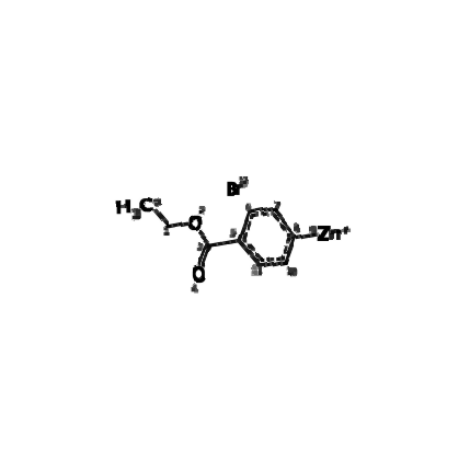 CCOC(=O)c1cc[c]([Zn+])cc1.[Br-]